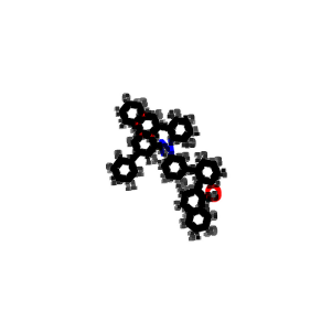 c1ccc(-c2cc(-c3ccccc3)cc(N(c3cccc(-c4cccc5oc6c7ccccc7ccc6c45)c3)c3ccccc3-c3ccccc3)c2)cc1